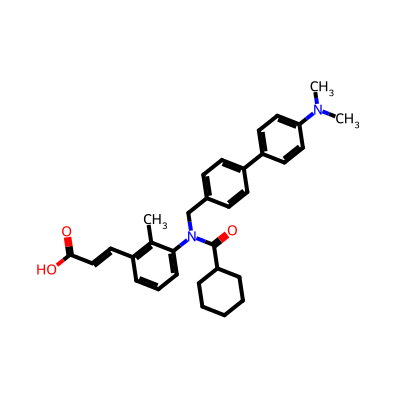 Cc1c(C=CC(=O)O)cccc1N(Cc1ccc(-c2ccc(N(C)C)cc2)cc1)C(=O)C1CCCCC1